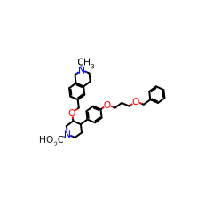 CN1CCc2cc(COC3CN(C(=O)O)CCC3c3ccc(OCCCOCc4ccccc4)cc3)ccc2C1